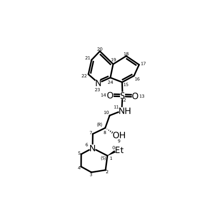 CC[C@H]1CCCCN1C[C@@H](O)CNS(=O)(=O)c1cccc2cccnc12